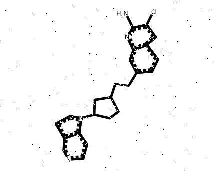 Nc1nc2cc(CCC3CCC(n4ccc5cnccc54)C3)ccc2cc1Cl